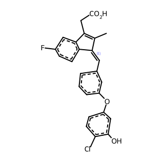 CC1=C(CC(=O)O)c2cc(F)ccc2/C1=C\c1cccc(Oc2ccc(Cl)c(O)c2)c1